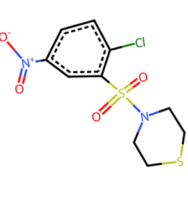 O=[N+]([O-])c1ccc(Cl)c(S(=O)(=O)N2CCSCC2)c1